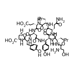 CC(C)C[C@H](NC(=O)[C@H](CCC(N)=O)NC(=O)[C@H](Cc1ccc(O)cc1)NC(=O)[C@H](CC(C)C)NC(=O)[C@@H](N)CO)C(=O)N[C@@H](CCC(=O)O)C(=O)N[C@@H](CC(N)=O)C(=O)N[C@@H](Cc1ccc(O)cc1)C(=O)N[C@@H](CS)C(=O)O